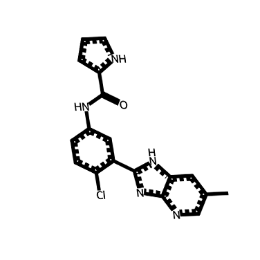 Cc1cnc2nc(-c3cc(NC(=O)c4ccc[nH]4)ccc3Cl)[nH]c2c1